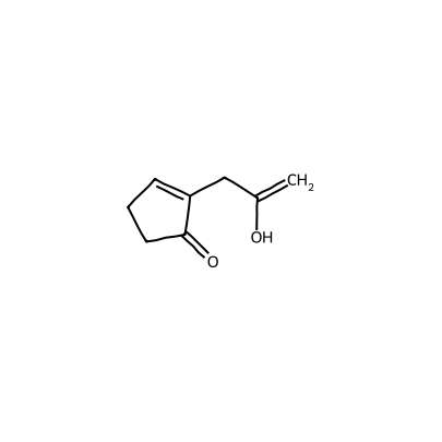 C=C(O)CC1=CCCC1=O